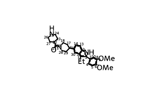 CCc1c(-c2ccc(OC)c(OC)c2)[nH]c2ccc(C3CCN(C(=O)C4CCNCC4)CC3)cc12